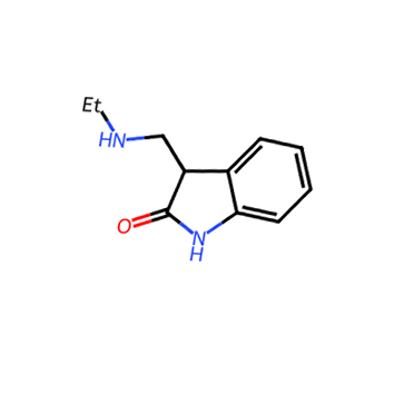 CCNCC1C(=O)Nc2ccccc21